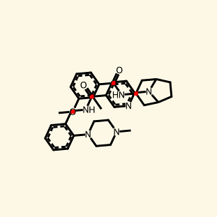 COc1cccc(C(=O)NC2CC3CCC(C2)N3c2ccc(C(=O)NCc3ccccc3N3CCN(C)CC3)cn2)c1C